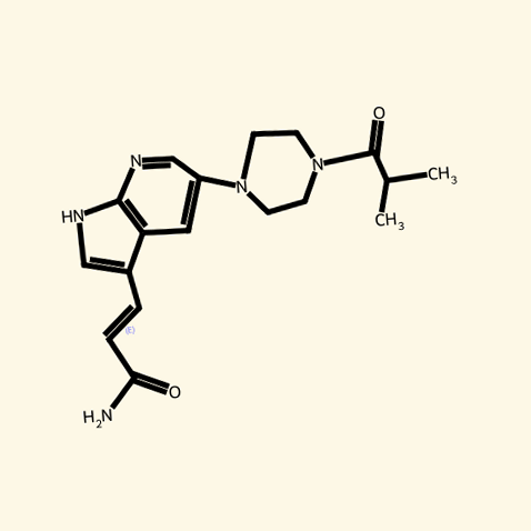 CC(C)C(=O)N1CCN(c2cnc3[nH]cc(/C=C/C(N)=O)c3c2)CC1